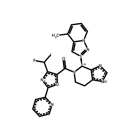 CC1=CC=CN2N=S([C@H]3c4nc[nH]c4CCN3C(=O)c3oc(-c4ccccn4)nc3C(F)I)C=C12